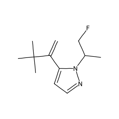 C=C(c1ccnn1C(C)CF)C(C)(C)C